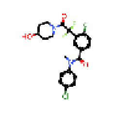 CN(C(=O)c1ccc(Cl)c(C(F)(F)C(=O)N2CCC(O)CC2)c1)c1ccc(Cl)cc1